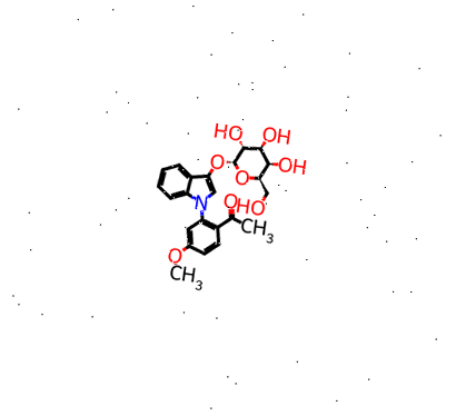 COc1ccc(C(C)=O)c(-n2cc(O[C@H]3O[C@H](CO)[C@H](O)[C@H](O)[C@H]3O)c3ccccc32)c1